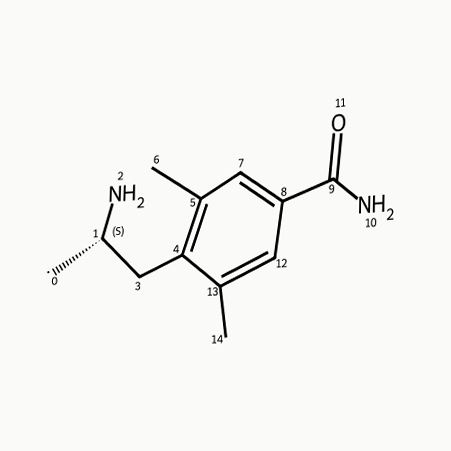 [CH2][C@H](N)Cc1c(C)cc(C(N)=O)cc1C